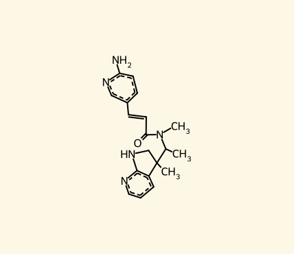 CC(N(C)C(=O)C=Cc1ccc(N)nc1)C1(C)CNc2ncccc21